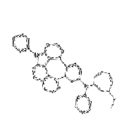 CCC1C=CC=CC(N(c2ccccc2)c2ccc3c(c2)-c2cccc4ccc5c(c24)c2c-3cccc2n5-c2ccccc2)=C1